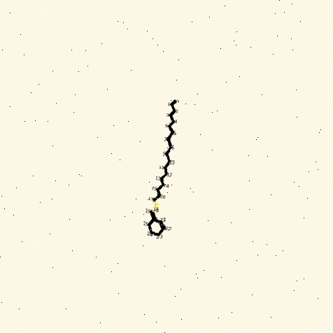 CCCCCCCCCCCCCCCCCCSC=C1C=CCCC1